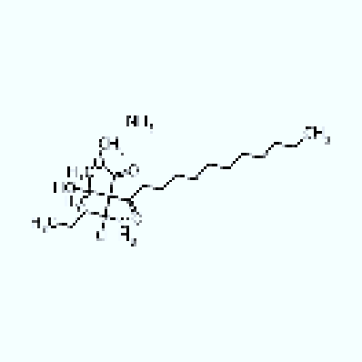 CCCCCCCCCCCC(=O)C(C(=O)OC)(C(C)(C)O)C(C)(Cl)CCC.N